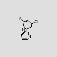 FC1=CC(Cl)CNC1.c1ccncc1